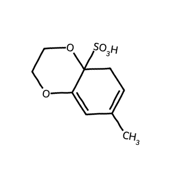 CC1=CCC2(S(=O)(=O)O)OCCOC2=C1